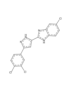 Clc1ccc2[nH]c(-c3cc(-c4ccc(Cl)c(Cl)c4)n[nH]3)nc2c1